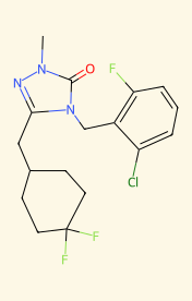 Cn1nc(CC2CCC(F)(F)CC2)n(Cc2c(F)cccc2Cl)c1=O